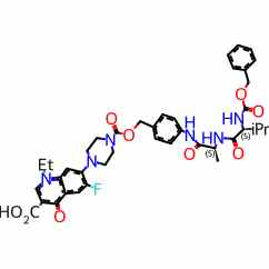 CCn1cc(C(=O)O)c(=O)c2cc(F)c(N3CCN(C(=O)OCc4ccc(NC(=O)[C@H](C)NC(=O)[C@@H](NC(=O)OCc5ccccc5)C(C)C)cc4)CC3)cc21